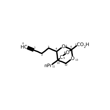 C#CCCC1OC2(C(=O)O)OCC1(CCC)CO2